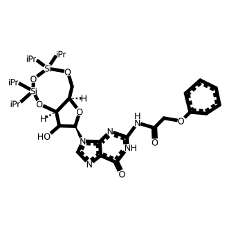 CC(C)[Si]1(C(C)C)OC[C@H]2O[C@@H](n3cnc4c(=O)[nH]c(NC(=O)COc5ccccc5)nc43)C(O)[C@H]2O[Si](C(C)C)(C(C)C)O1